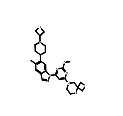 COc1nc(N2CCOC3(COC3)C2)cc(-n2ncc3cc(C)c(C4CCN(C5COC5)CC4)cc32)n1